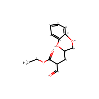 CCOC(=O)C(C=O)CC1COc2ccccc2O1